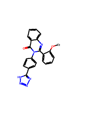 CCOc1ccccc1-c1nc2ccccc2c(=O)n1-c1ccc(-c2nnn[nH]2)cc1